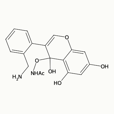 CC(=O)NOC1(O)C(c2ccccc2CN)=COc2cc(O)cc(O)c21